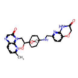 Cc1ccc2ncc(=O)n(CC(O)C34CCC(NCc5ccc6c(n5)NC(=O)CO6)(CC3)CO4)c2n1